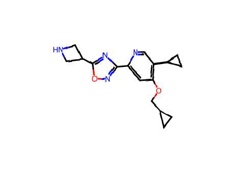 c1c(-c2noc(C3CNC3)n2)ncc(C2CC2)c1OCC1CC1